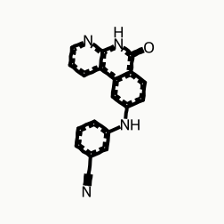 N#Cc1cccc(Nc2ccc3c(=O)[nH]c4ncccc4c3c2)c1